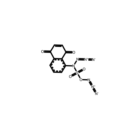 [N-]=[N+]=NOS(=O)(=O)N(N=[N+]=[N-])c1cccc2c1C(=O)C=CC2=O